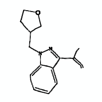 C=C(C)c1nn(CC2CCOC2)c2ccccc12